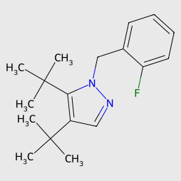 CC(C)(C)c1cnn(Cc2ccccc2F)c1C(C)(C)C